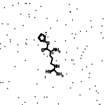 N=C(N)NCCC[C@H](N)C(=O)On1cccc1